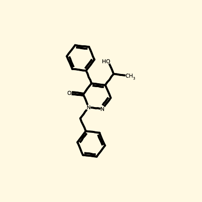 CC(O)c1cnn(Cc2ccccc2)c(=O)c1-c1ccccc1